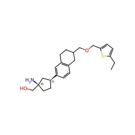 CCc1ccc(COCC2CCc3cc([C@H]4CC[C@](N)(CO)C4)ccc3C2)s1